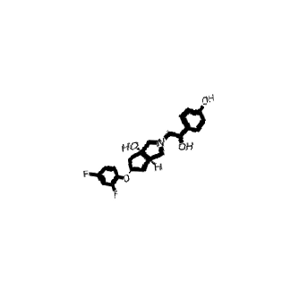 Oc1ccc(C(O)CN2C[C@H]3C[C@H](Oc4ccc(F)cc4F)C[C@@]3(O)C2)cc1